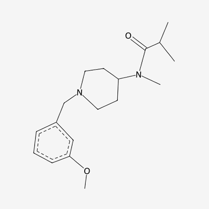 COc1cccc(CN2CCC(N(C)C(=O)C(C)C)CC2)c1